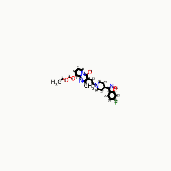 CCOCOc1cccn2c(=O)c(CCN3CCC(c4noc5cc(F)ccc45)CC3)c(C)nc12